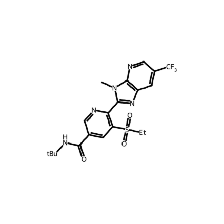 CCS(=O)(=O)c1cc(C(=O)NC(C)(C)C)cnc1-c1nc2cc(C(F)(F)F)cnc2n1C